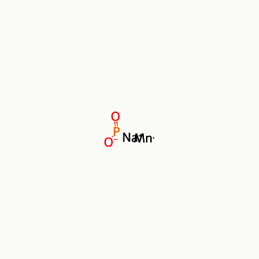 O=P[O-].[Mn].[Na+]